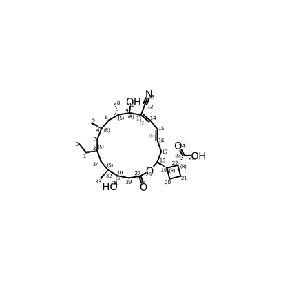 CC[C@H]1C[C@@H](C)C[C@H](C)[C@@H](O)/C(C#N)=C\C=C\CC([C@@H]2CC[C@H]2C(=O)O)OC(=O)C[C@H](O)[C@@H](C)C1